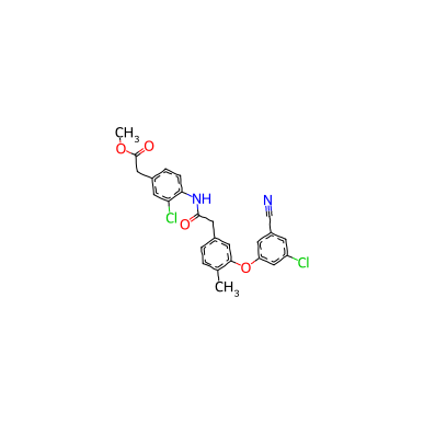 COC(=O)Cc1ccc(NC(=O)Cc2ccc(C)c(Oc3cc(Cl)cc(C#N)c3)c2)c(Cl)c1